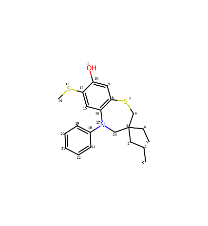 CCCC1(CC)CSc2cc(O)c(SC)cc2N(c2ccccc2)C1